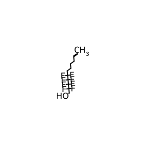 C/C=C/CCCCC(F)(F)C(F)(F)C(F)(F)C(F)(F)CO